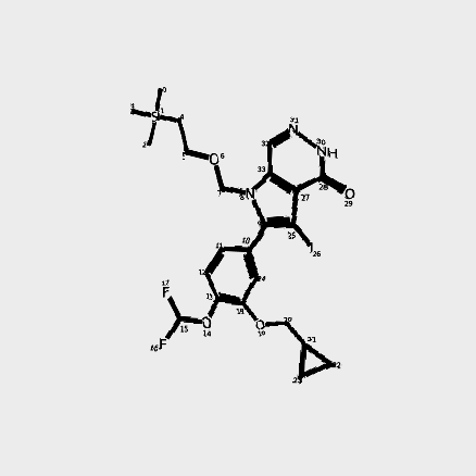 C[Si](C)(C)CCOCn1c(-c2ccc(OC(F)F)c(OCC3CC3)c2)c(I)c2c(=O)[nH]ncc21